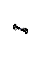 CC1(C)c2cc(/C=C/c3ccc4c(c3)C(C)(C)c3cc(N5C6=C(C=CCC6)C=Cc6ccccc65)ccc3-4)ccc2-c2ccc(N3C4=C(C=CCC4)C=Cc4ccccc43)cc21